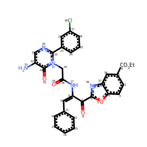 CCOC(=O)c1ccc2oc(C(=O)C(=Cc3ccccc3)NC(=O)Cn3c(-c4cccc(Cl)c4)ncc(N)c3=O)nc2c1